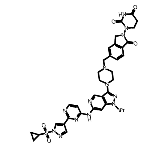 CC(C)n1nc(N2CCN(Cc3ccc4c(c3)CN(N3CCC(=O)NC3=O)C4=O)CC2)c2cnc(Nc3ccnc(-c4cnn(S(=O)(=O)C5CC5)c4)n3)cc21